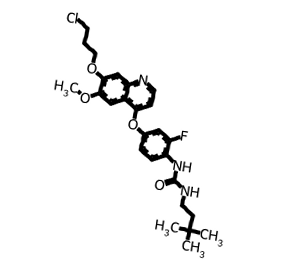 COc1cc2c(Oc3ccc(NC(=O)NCCC(C)(C)C)c(F)c3)ccnc2cc1OCCCCl